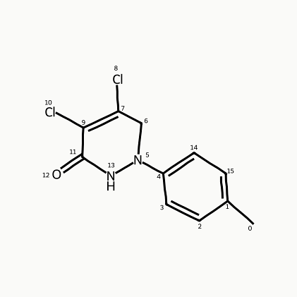 Cc1ccc(N2CC(Cl)=C(Cl)C(=O)N2)cc1